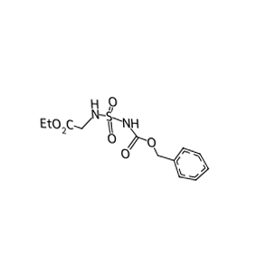 CCOC(=O)CNS(=O)(=O)NC(=O)OCc1ccccc1